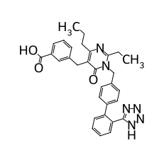 CCCc1nc(CC)n(Cc2ccc(-c3ccccc3-c3nnn[nH]3)cc2)c(=O)c1Cc1cccc(C(=O)O)c1